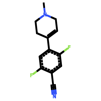 CN1CC=C(c2cc(F)c(C#N)cc2F)CC1